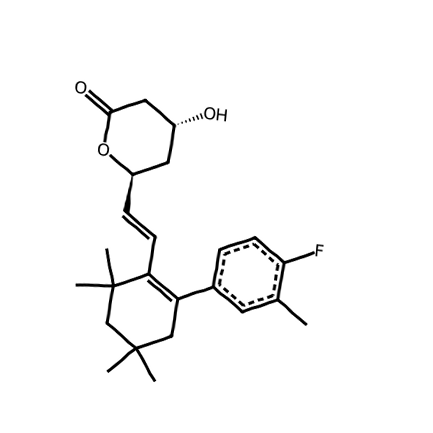 Cc1cc(C2=C(C=C[C@@H]3C[C@@H](O)CC(=O)O3)C(C)(C)CC(C)(C)C2)ccc1F